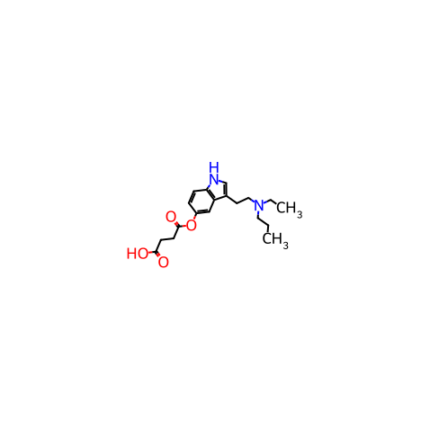 CCCN(CC)CCc1c[nH]c2ccc(OC(=O)CCC(=O)O)cc12